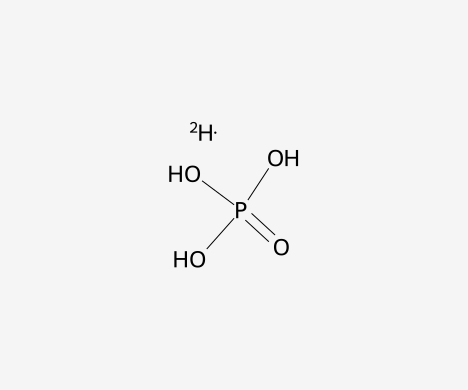 O=P(O)(O)O.[2H]